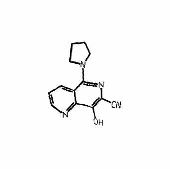 N#Cc1nc(N2CCCC2)c2cccnc2c1O